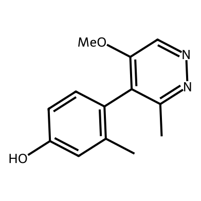 COc1cnnc(C)c1-c1ccc(O)cc1C